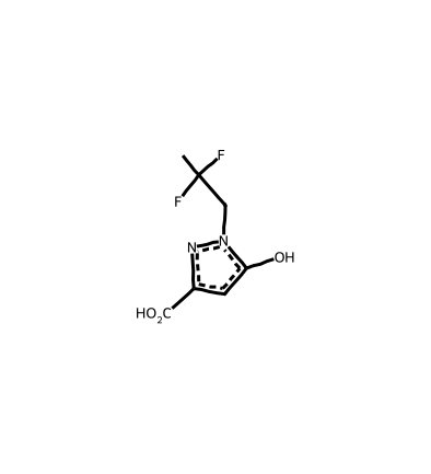 CC(F)(F)Cn1nc(C(=O)O)cc1O